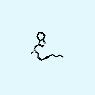 CCCCC#C/C=C\CN(C)Cc1csc2ccccc12